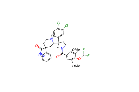 CCN1CCC(C(N)=O)(c2ccccc2)CC1C1(c2ccc(Cl)c(Cl)c2)CCN(C(=O)c2cc(OC)c(OC(F)F)c(OC)c2)C1